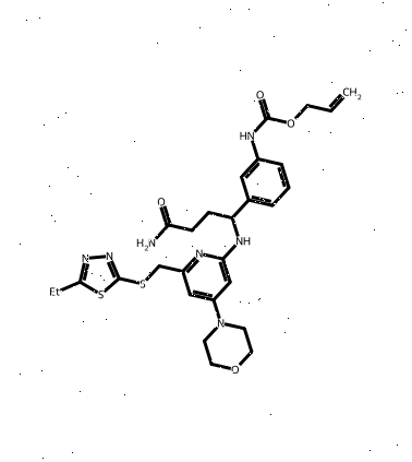 C=CCOC(=O)Nc1cccc(C(CCC(N)=O)Nc2cc(N3CCOCC3)cc(CSc3nnc(CC)s3)n2)c1